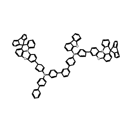 C1=CC(c2ccc3c(c2)Oc2cccc4c2N3c2ccccc2C42c3ccccc3-c3ccccc32)CC=C1N(c1ccc(-c2ccccc2)cc1)c1ccc(-c2cccc(-c3ccc(N(c4ccc(-c5ccc6c(c5)Oc5cccc7c5N6c5ccccc5C75c6ccccc6-c6ccccc65)cc4)c4cccc5c4oc4ccccc45)cc3)c2)cc1